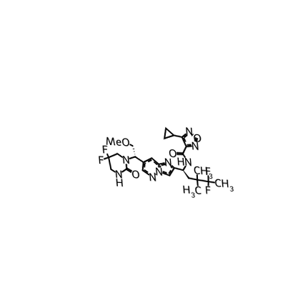 COC[C@H](c1cnn2cc([C@H](CC(C)(C)C(C)(F)F)NC(=O)c3nonc3C3CC3)nc2c1)N1CC(F)(F)CNC1=O